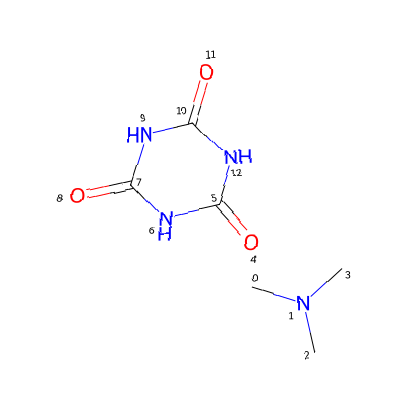 CN(C)C.O=c1[nH]c(=O)[nH]c(=O)[nH]1